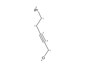 CC(C)CCC#CC[O]